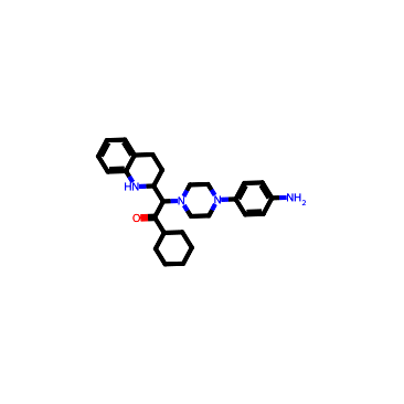 Nc1ccc(N2CCN(C(C(=O)C3CCCCC3)C3CCc4ccccc4N3)CC2)cc1